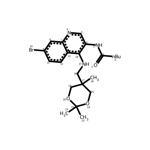 CCCCC(=O)Nc1cnc2cc(Br)ccc2c1NCC1(C)COC(C)(C)OC1